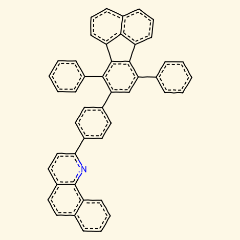 c1ccc(-c2cc(-c3ccc(-c4ccc5ccc6ccccc6c5n4)cc3)c(-c3ccccc3)c3c2-c2cccc4cccc-3c24)cc1